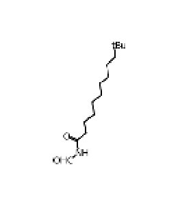 CC(C)(C)CCCCCCCCCC(=O)NC=O